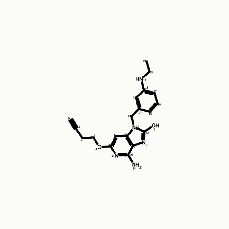 C#CCCOc1cc2c(nc(O)n2Cc2cccc(NCC)c2)c(N)n1